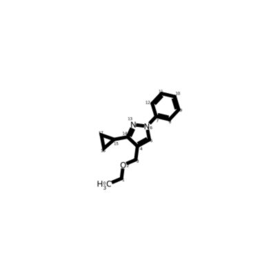 CCOCc1cn(-c2ccccc2)nc1C1CC1